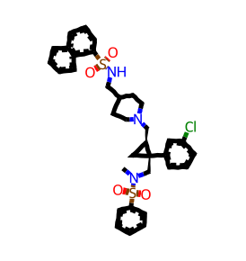 CN(C[C@@]1(c2cccc(Cl)c2)C[C@H]1CN1CCC(CNS(=O)(=O)c2cccc3ccccc23)CC1)S(=O)(=O)c1ccccc1